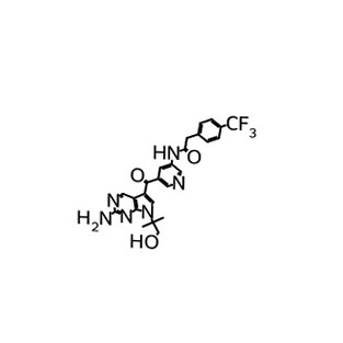 CC(C)(CO)n1cc(C(=O)c2cncc(NC(=O)Cc3ccc(C(F)(F)F)cc3)c2)c2cnc(N)nc21